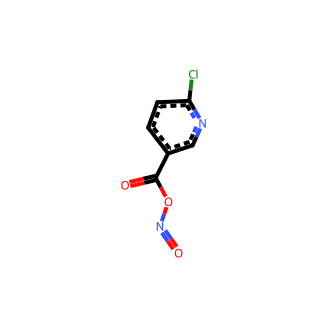 O=NOC(=O)c1ccc(Cl)nc1